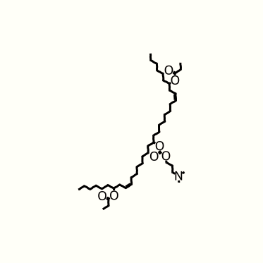 CCCCCCC(C/C=C\CCCCCCCC(CCCCCCC/C=C\CC(CCCCCC)OC(=O)CC)OC(=O)OCCCN(C)C)OC(=O)CC